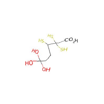 O=C(O)C(S)(S)C(S)CC(O)(O)O